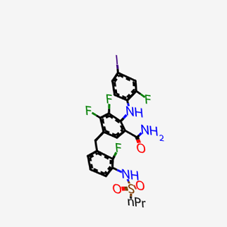 CCCS(=O)(=O)Nc1cccc(Cc2cc(C(N)=O)c(Nc3ccc(I)cc3F)c(F)c2F)c1F